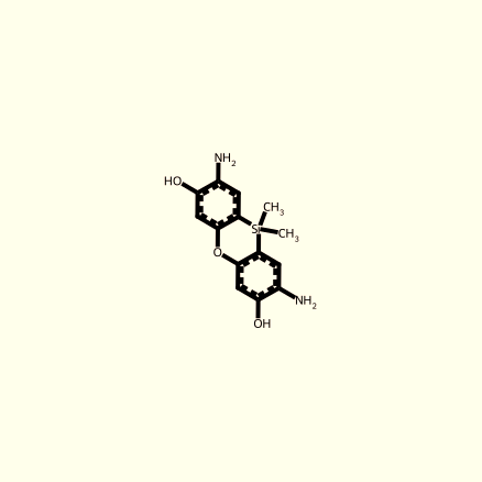 C[Si]1(C)c2cc(N)c(O)cc2Oc2cc(O)c(N)cc21